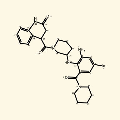 Nc1cc(Br)cc(C(=O)N2CCCCC2)c1NC1CCCN(C(=O)C2CC(=O)Nc3ccccc32)C1